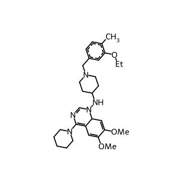 CCOc1cc(CN2CCC(NN3C=NC(N4CCCCC4)=C4C=C(OC)C(OC)=CC43)CC2)ccc1C